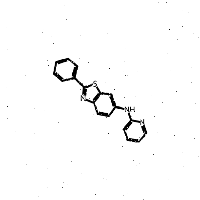 c1ccc(-c2nc3ccc(Nc4ccccn4)cc3s2)cc1